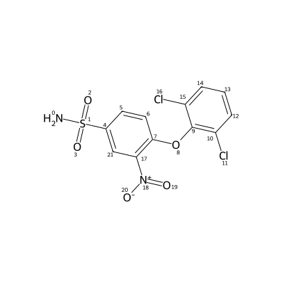 NS(=O)(=O)c1ccc(Oc2c(Cl)cccc2Cl)c([N+](=O)[O-])c1